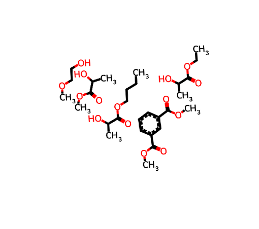 CCCCOC(=O)C(C)O.CCOC(=O)C(C)O.COC(=O)C(C)O.COC(=O)c1cccc(C(=O)OC)c1.COCCO